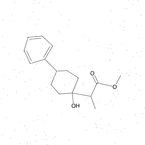 COC(=O)C(C)C1(O)CCC(c2ccccc2)CC1